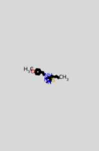 CCCc1cc2c(NCCc3ccc(OC)cc3)ncnc2s1